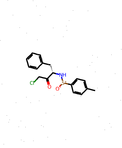 Cc1ccc([S+]([O-])N[C@@H](Cc2ccccc2)C(=O)CCl)cc1